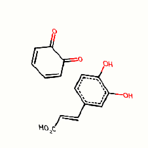 O=C(O)/C=C/c1ccc(O)c(O)c1.O=C1C=CC=CC1=O